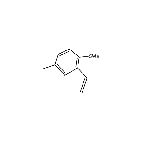 C=[C]c1cc(C)ccc1SC